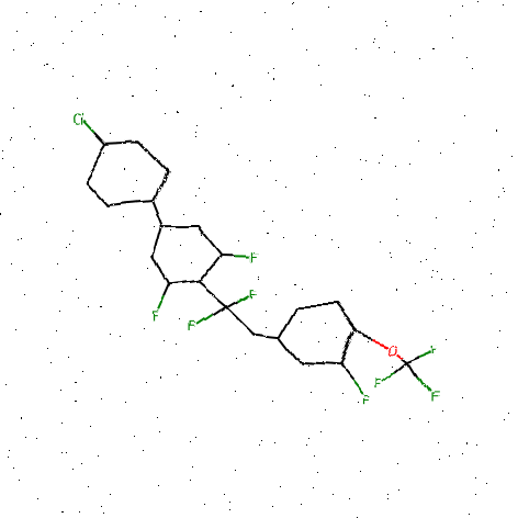 FC1CC(CC(F)(F)C2C(F)CC(C3CCC(Cl)CC3)CC2F)CCC1OC(F)(F)F